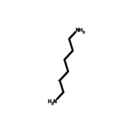 NC[CH]CCCCN